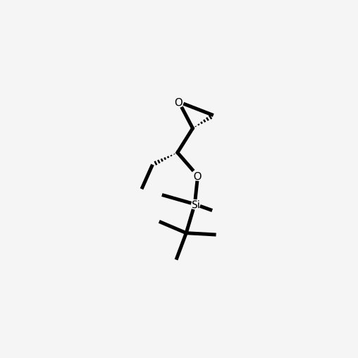 CC[C@@H](O[Si](C)(C)C(C)(C)C)[C@H]1CO1